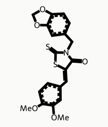 COc1ccc(C=C2SC(=S)N(Cc3ccc4c(c3)OCO4)C2=O)cc1OC